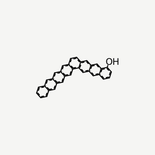 Oc1cccc2cc3cc4c(ccc5cc6cc7cc8ccccc8cc7cc6cc54)cc3cc12